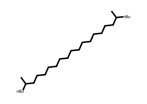 CCCCC(C)CCCCCCCCCCCCCCCC(C)CCCC